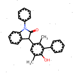 Cc1cc(C2C(=O)N(c3ccccc3)c3ccccc32)c(C)c(-c2ccccc2)c1O